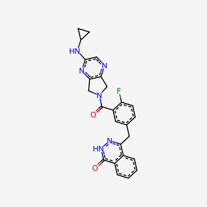 O=C(c1cc(Cc2n[nH]c(=O)c3ccccc23)ccc1F)N1Cc2ncc(NC3CC3)nc2C1